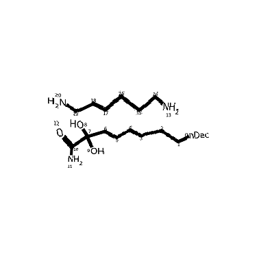 CCCCCCCCCCCCCCCCC(O)(O)C(N)=O.NCCCCCCN